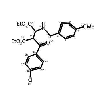 CCOC(=O)C(NCc1ccc(OC)cc1)C(C(=O)OCC)C(=O)c1ccc(Cl)cc1